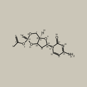 C=C(C)OP1(=S)OC[C@H]2O[C@@H](n3ccc(N)nc3=O)CC2O1